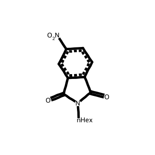 CCCCCCN1C(=O)c2ccc([N+](=O)[O-])cc2C1=O